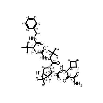 CC(C)(C)[C@H](NC(=O)N[C@H](C(=O)N1C[C@H]2[C@@H]([C@H]1C(=O)NC(C(=O)C(N)=O)C1CCC1)C2(C)C)C(C)(C)C)C(=O)NCc1ccccc1